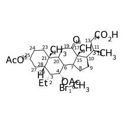 CBr.CC[C@H]1[C@@H](OC(C)=O)C2C3CC[C@H]([C@H](C)CC(=O)O)[C@@]3(C)C(=O)CC2[C@@]2(C)CC[C@@H](OC(C)=O)C[C@@H]12